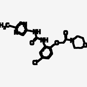 Cc1cnc(NC(=O)Nc2cc(Cl)ccc2OCC(=O)N2CCOCC2)cn1